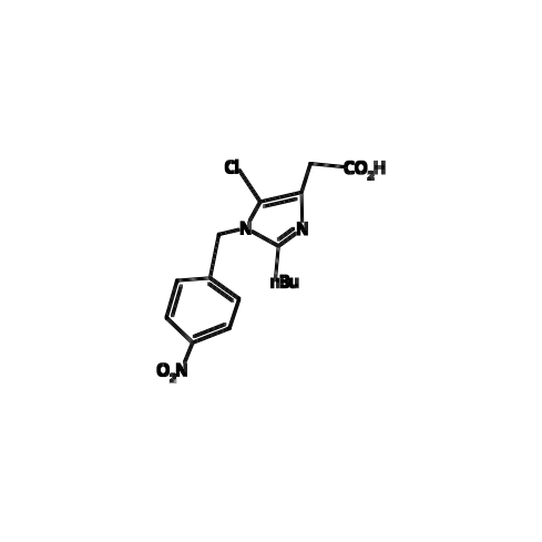 CCCCc1nc(CC(=O)O)c(Cl)n1Cc1ccc([N+](=O)[O-])cc1